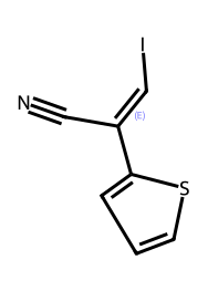 N#C/C(=C\I)c1cccs1